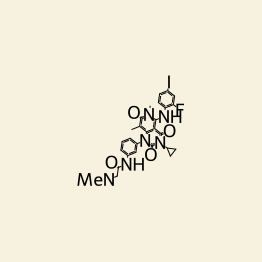 CNCC(=O)Nc1cccc(-n2c(=O)n(C3CC3)c(=O)c3c(Nc4ccc(I)cc4F)n(C)c(=O)c(C)c32)c1